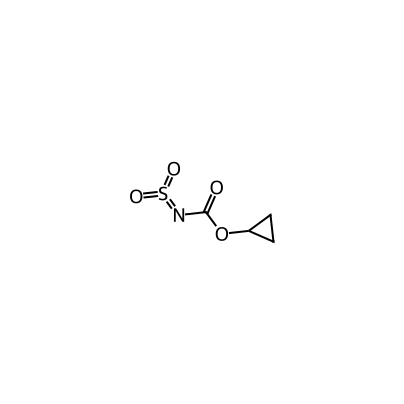 O=C(N=S(=O)=O)OC1CC1